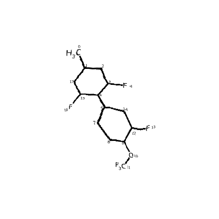 CC1CC(F)C(C2CCC(OC(F)(F)F)C(F)C2)C(F)C1